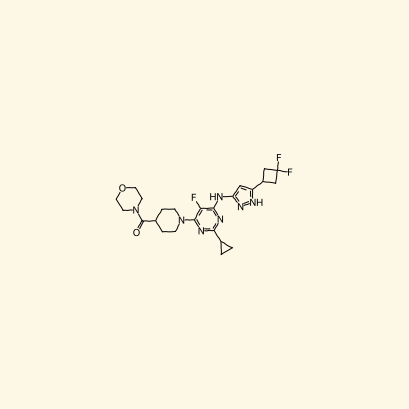 O=C(C1CCN(c2nc(C3CC3)nc(Nc3cc(C4CC(F)(F)C4)[nH]n3)c2F)CC1)N1CCOCC1